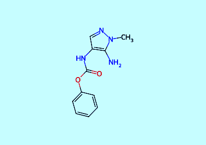 Cn1ncc(NC(=O)Oc2ccccc2)c1N